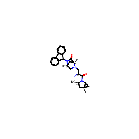 N#C[C@@H]1C[C@@H]2CC2N1C(=O)[C@@H](N)CN1C[C@@H]2C[C@H]1C(=O)N2C1c2ccccc2-c2ccccc21